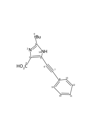 CC(C)(C)c1nc(C(=O)O)c(C#Cc2ccccc2)[nH]1